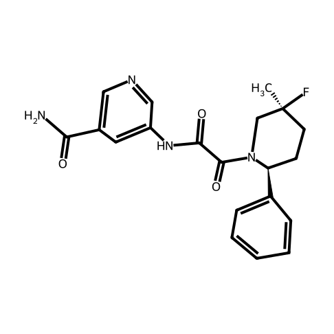 C[C@]1(F)CC[C@@H](c2ccccc2)N(C(=O)C(=O)Nc2cncc(C(N)=O)c2)C1